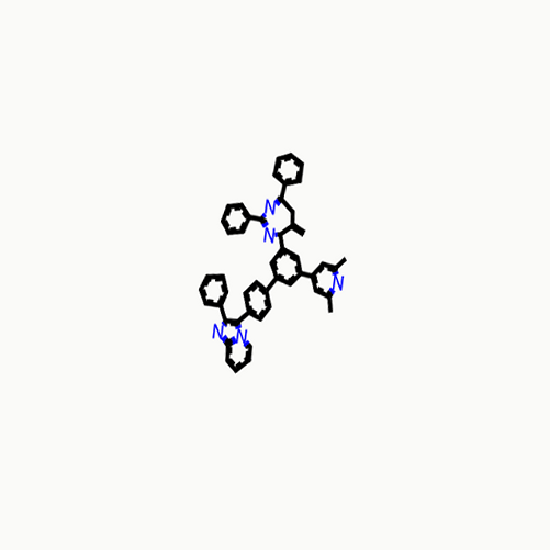 C=C1CC(c2ccccc2)=NC(c2ccccc2)=NC1c1cc(-c2ccc(-c3c(-c4ccccc4)nc4ccccn34)cc2)cc(-c2cc(C)nc(C)c2)c1